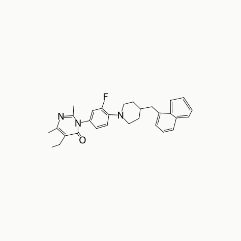 CCc1c(C)nc(C)n(-c2ccc(N3CCC(Cc4cccc5ccccc45)CC3)c(F)c2)c1=O